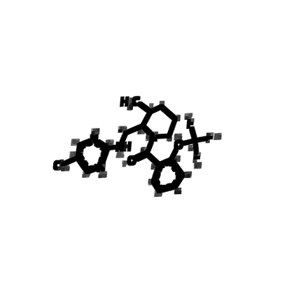 CC1CCCN(C(=O)c2ccccc2OC(F)(F)F)C1CNc1ncc(Cl)cn1